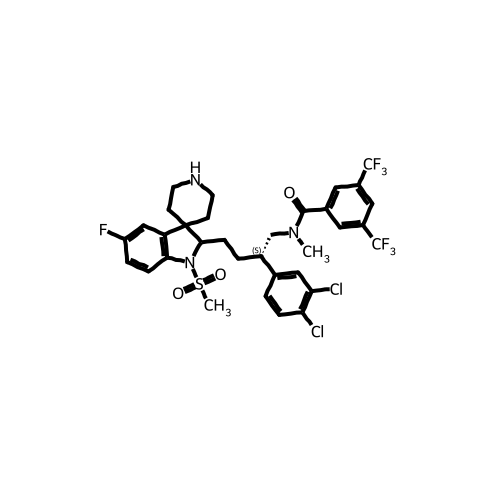 CN(C[C@@H](CCC1N(S(C)(=O)=O)c2ccc(F)cc2C12CCNCC2)c1ccc(Cl)c(Cl)c1)C(=O)c1cc(C(F)(F)F)cc(C(F)(F)F)c1